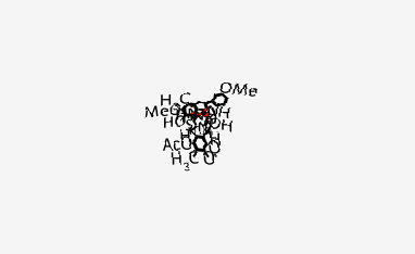 COc1ccc2[nH]c3c(c2c1)CCN[C@]31CS[C@@H]2c3c(OC(C)=O)c(C)c4c(c3[C@H](COC1=O)N1C2C2NC(Cc3cc(C)c(OC)c(O)c32)[C@@H]1O)OCO4